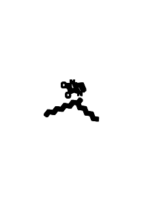 CCCCCCCCC(C)CCCCCC.O=c1nc2ccnc-2c1=O